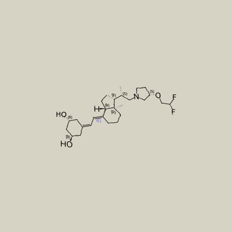 C[C@H](CN1CC[C@H](OCC(F)F)C1)[C@H]1CC[C@H]2/C(=C/C=C3C[C@@H](O)C[C@H](O)C3)CCC[C@]12C